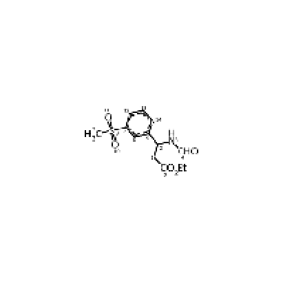 CCOC(=O)CC(NC=O)c1cc(S(C)(=O)=O)ccn1